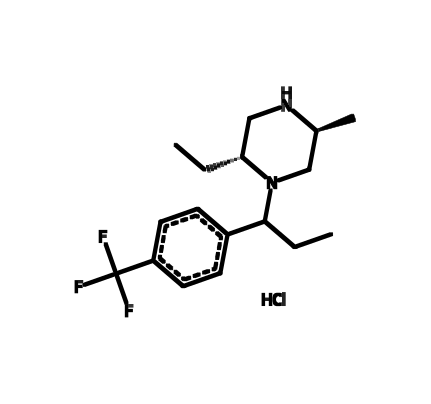 CCC(c1ccc(C(F)(F)F)cc1)N1C[C@H](C)NC[C@H]1CC.Cl